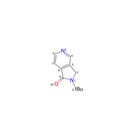 CC(C)(C)N1Cc2cnccc2C1=O